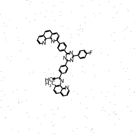 C#C/C(=N\c1c(C)ccc2cccnc12)c1ccc(-c2nc(-c3ccc(F)cc3)nc(-c3ccc(-c4ccc5ccc6cccnc6c5n4)cc3)n2)cc1